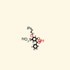 CC(C)CCCOc1cc(OO)c(C(=O)c2ccccc2)cc1S(=O)(=O)O